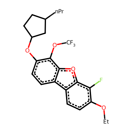 CCCC1CCC(Oc2ccc3c(oc4c(F)c(OCC)ccc43)c2OC(F)(F)F)C1